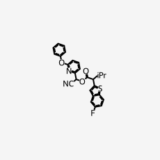 CC(C)C(C(=O)OC(C#N)c1cccc(Oc2ccccc2)n1)c1cc2cc(F)ccc2s1